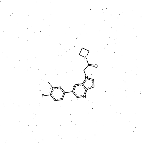 Cc1cc(-c2cnc3ccn(CC(=O)N4CCC4)c3c2)ccc1F